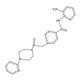 Nc1ccccc1NC(=O)c1ccc(CC(=O)N2CCN(c3ccccn3)CC2)cc1